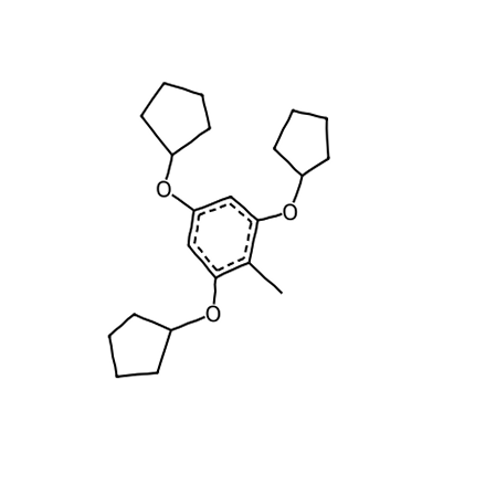 Cc1c(OC2CCCC2)cc(OC2CCCC2)cc1OC1CCCC1